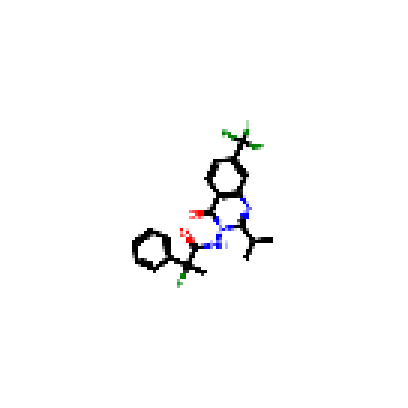 CC(C)c1nc2cc(C(F)(F)F)ccc2c(=O)n1NC(=O)C(C)(F)c1ccccc1